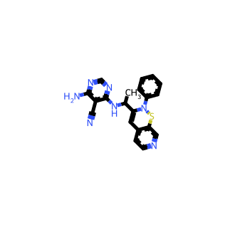 CC(Nc1ncnc(N)c1C#N)C1=Cc2ccncc2SN1c1ccccc1